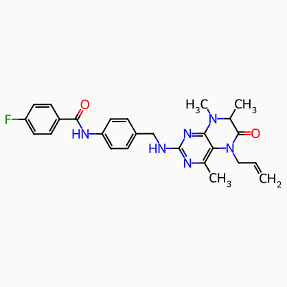 C=CCN1C(=O)C(C)N(C)c2nc(NCc3ccc(NC(=O)c4ccc(F)cc4)cc3)nc(C)c21